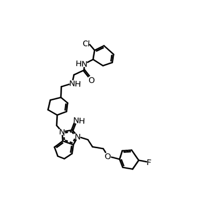 N=c1n(CCCOC2=CCC(F)C=C2)c2c(n1CC1C=CC(CNCC(=O)NC3CC=CC=C3Cl)CC1)=CCCC=2